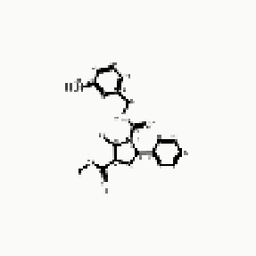 COC(=O)C1CC(c2ccccc2)N(C(=O)OCc2cccc(N)c2)C1C